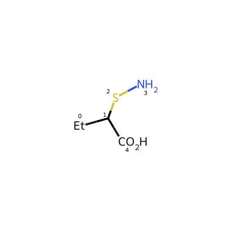 CCC(SN)C(=O)O